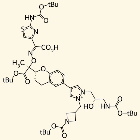 CC(C)(C)OC(=O)NC[C@H](O)Cn1cc(-c2ccc3c(c2)CC[C@H]([C@](C)(O/N=C(\C(=O)O)c2csc(NC(=O)OC(C)(C)C)n2)C(=O)OC(C)(C)C)O3)c[n+]1CC1CN(C(=O)OC(C)(C)C)C1